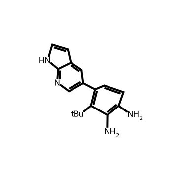 CC(C)(C)c1c(-c2cnc3[nH]ccc3c2)ccc(N)c1N